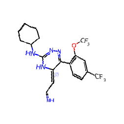 N=C/C=C1\NC(NC2CCCCC2)=NN=C1c1ccc(C(F)(F)F)cc1OC(F)(F)F